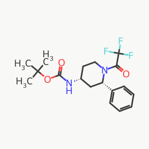 CC(C)(C)OC(=O)N[C@@H]1CCN(C(=O)C(F)(F)F)[C@H](c2ccccc2)C1